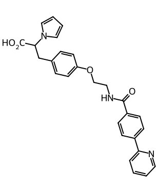 O=C(NCCOc1ccc(CC(C(=O)O)n2cccc2)cc1)c1ccc(-c2ccccn2)cc1